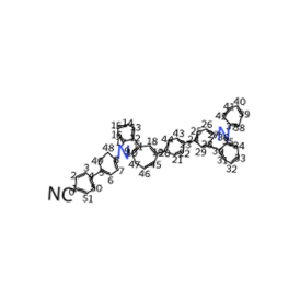 N#Cc1ccc(C2=CC=C(n3c4c(c5ccccc53)C=C(c3ccc(-c5ccc6c(c5)c5ccccc5n6-c5ccccc5)cc3)C=CC4)CC2)cc1